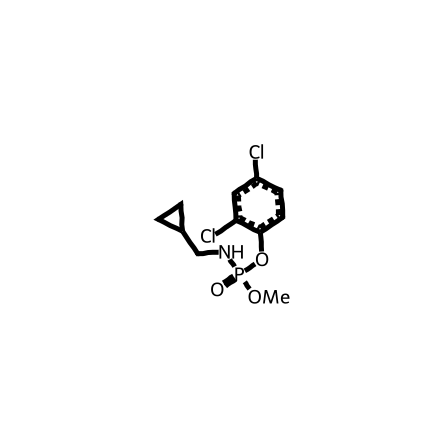 COP(=O)(NCC1CC1)Oc1ccc(Cl)cc1Cl